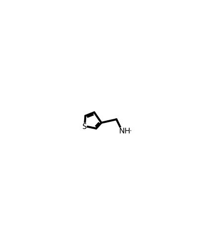 [NH]Cc1ccsc1